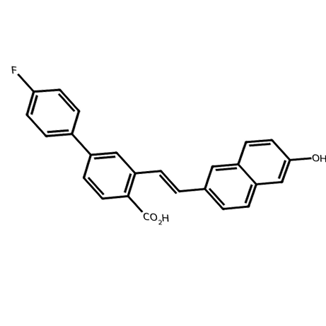 O=C(O)c1ccc(-c2ccc(F)cc2)cc1C=Cc1ccc2cc(O)ccc2c1